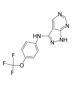 FC(F)(F)Oc1ccc(Nc2n[nH]c3ncncc23)cc1